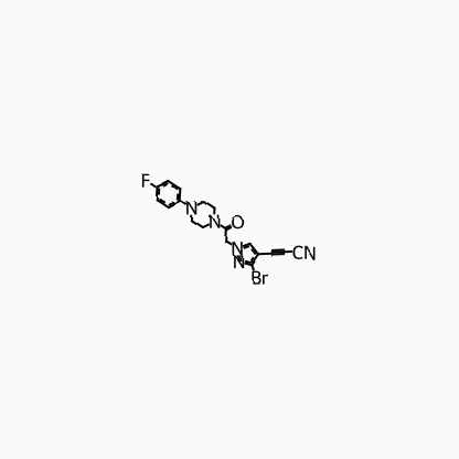 N#CC#Cc1cn(CC(=O)N2CCN(c3ccc(F)cc3)CC2)nc1Br